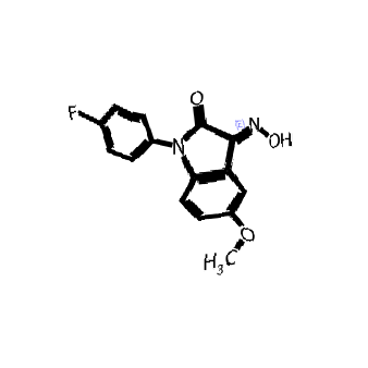 COc1ccc2c(c1)/C(=N\O)C(=O)N2c1ccc(F)cc1